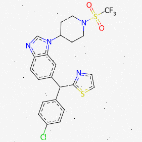 O=S(=O)(N1CCC(n2cnc3ccc(C(c4ccc(Cl)cc4)c4nccs4)cc32)CC1)C(F)(F)F